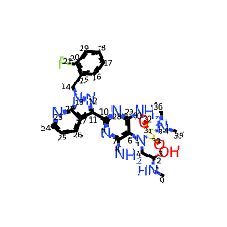 CNC(O)CN(c1c(N)nc(-c2nn(Cc3ccccc3F)c3ncccc23)nc1N)S(=O)(=O)N(C)C